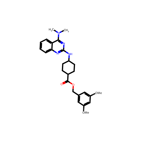 COc1cc(COC(=O)C2CCC(Nc3nc(N(C)C)c4ccccc4n3)CC2)cc(OC)c1